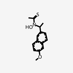 COc1ccc2cc(C(C)N(O)C(C)=S)ccc2c1